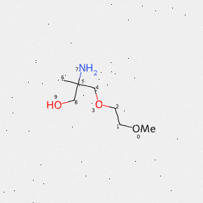 COCCOCC(C)(N)CO